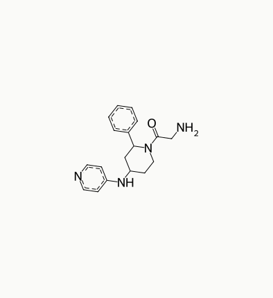 NCC(=O)N1CCC(Nc2ccncc2)CC1c1ccccc1